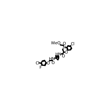 COCC(=O)N1CC(C(=O)NC2CC3(NC(=O)COc4ccc(Cl)c(F)c4)CC2C3)Oc2ccc(Cl)cc21